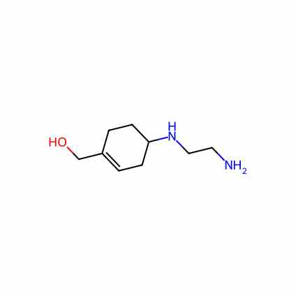 NCCNC1CC=C(CO)CC1